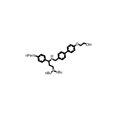 CCCCCc1ccc(C(CCN(CCCC)CCCC)NCc2ccc(-c3ccc(OCCO)cc3)cc2)cc1